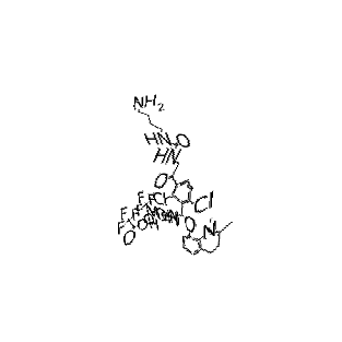 CNC(Oc1cccc2c1N(C)C(C)CC2)c1c(Cl)ccc(C(=O)CNC(=O)NCCCCN)c1Cl.O=C(O)C(F)(F)F.O=C(O)C(F)(F)F